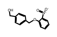 O=[N+]([O-])c1ccccc1OCc1ccc(CO)cc1